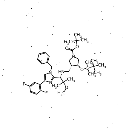 COC(C)(C)[C@@H](NC[C@@H]1CN(C(=O)OC(C)(C)C)C[C@H]1O[Si](C)(C)C(C)(C)C)c1nc(-c2cc(F)ccc2F)cn1Cc1ccccc1